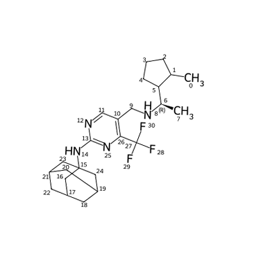 CC1CCCC1[C@@H](C)NCc1cnc(NC23CC4CC(CC(C4)C2)C3)nc1C(F)(F)F